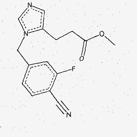 COC(=O)CCc1cncn1Cc1ccc(C#N)c(F)c1